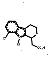 CCn1c2c(c3cccc(Cl)c31)CCOC2CC(=O)O